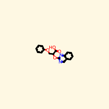 O=C(O)C(COc1ccccc1)Oc1ncc2ccccc2n1